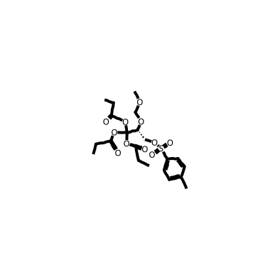 CCC(=O)OC(OC(=O)CC)(OC(=O)CC)[C@@H](COS(=O)(=O)c1ccc(C)cc1)OCOC